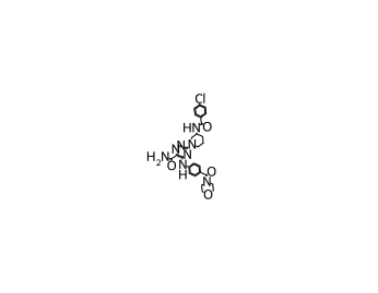 NC(=O)c1nnc(N2CCCC(NC(=O)c3ccc(Cl)cc3)C2)nc1Nc1ccc(C(=O)N2CCOCC2)cc1